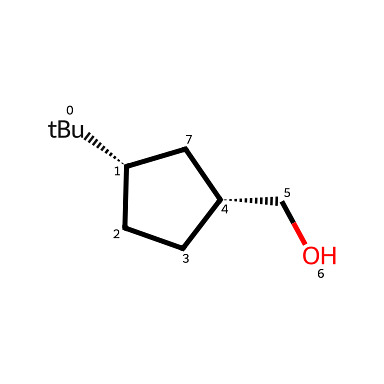 CC(C)(C)[C@H]1CC[C@@H](CO)C1